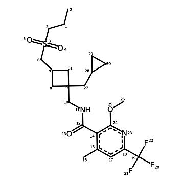 CCCS(=O)(=O)CC1CC(CNC(=O)c2c(C)cc(C(F)(F)F)nc2OC)(CC2CC2)C1